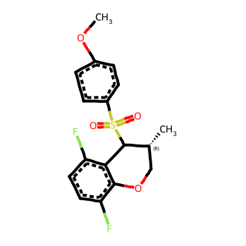 COc1ccc(S(=O)(=O)C2c3c(F)ccc(F)c3OC[C@H]2C)cc1